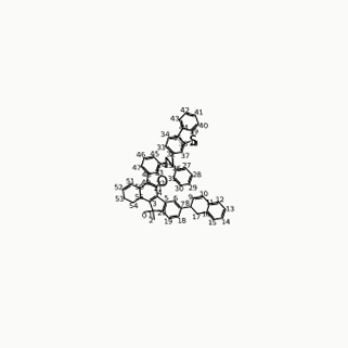 CC1(C)C2=C(c3cc(C4C=Cc5ccccc5C4)ccc31)c1oc3c(N(c4ccccc4)c4ccc5c(c4)sc4ccccc45)cccc3c1C1C=CCCC21